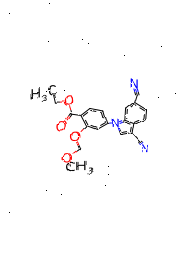 CCOC(=O)c1ccc(-n2cc(C#N)c3ccc(C#N)cc32)cc1OCOC